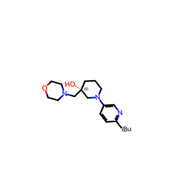 CCC(C)c1ccc(N2CCC[C@](O)(CN3CCOCC3)C2)cn1